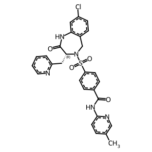 Cc1ccc(NC(=O)c2ccc(S(=O)(=O)N3Cc4ccc(Cl)cc4NC(=O)[C@H]3Cc3ccccn3)cc2)nc1